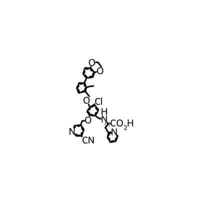 Cc1c(COc2cc(OCc3cncc(C#N)c3)c(CN[C@@H](Cc3ccccn3)C(=O)O)cc2Cl)cccc1-c1ccc2c(c1)OCCO2